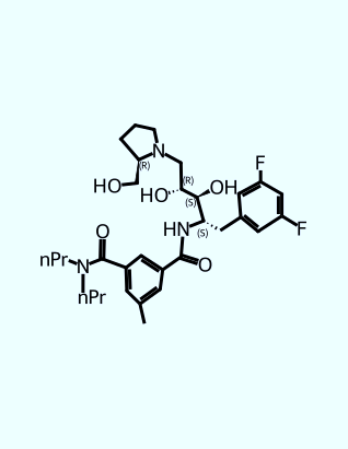 CCCN(CCC)C(=O)c1cc(C)cc(C(=O)N[C@@H](Cc2cc(F)cc(F)c2)[C@H](O)[C@H](O)CN2CCC[C@@H]2CO)c1